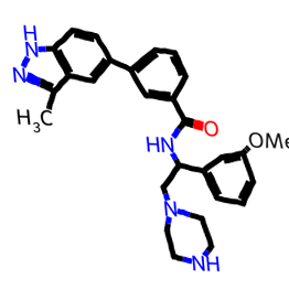 COc1cccc(C(CN2CCNCC2)NC(=O)c2cccc(-c3ccc4[nH]nc(C)c4c3)c2)c1